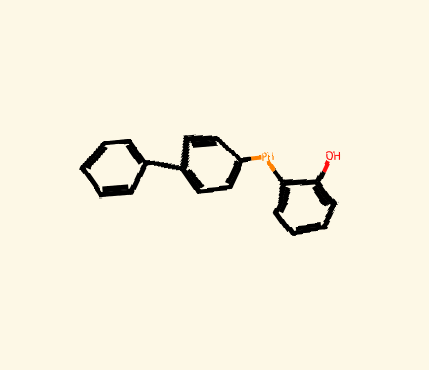 Oc1ccccc1Pc1ccc(-c2ccccc2)cc1